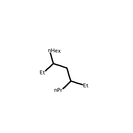 CCCCCCC(CC)CC(CC)CCC